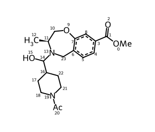 COC(=O)c1ccc2c(c1)OC[C@H](C)N(C(O)C1CCN(C(C)=O)CC1)C2